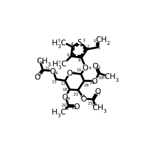 C=Cc1sc(C)c(C)c1OC1OC(COC(C)=O)C(OC(C)=O)C(OC(C)=O)C1OC(C)=O